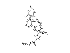 CCOC(=O)[C@H]1CCN(C(=O)[C@@H](C)Oc2ccc3c(-c4ccc(F)cc4Cl)ccnc3c2)C1